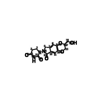 O=C1CC[C@H](N2Cc3cc4c(cc3C2=O)OC[C@H](CO)O4)C(=O)N1